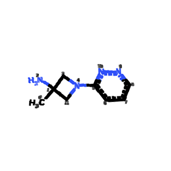 CC1(N)CN(c2cccnn2)C1